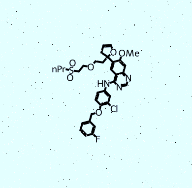 CCCS(=O)(=O)CCOCCC1(c2cc3c(Nc4ccc(OCc5cccc(F)c5)c(Cl)c4)ncnc3cc2OC)CC=CO1